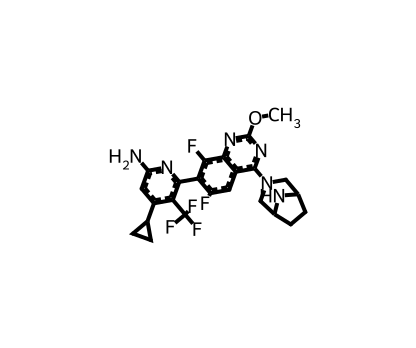 COc1nc(N2CC3CCC(C2)N3)c2cc(F)c(-c3nc(N)cc(C4CC4)c3C(F)(F)F)c(F)c2n1